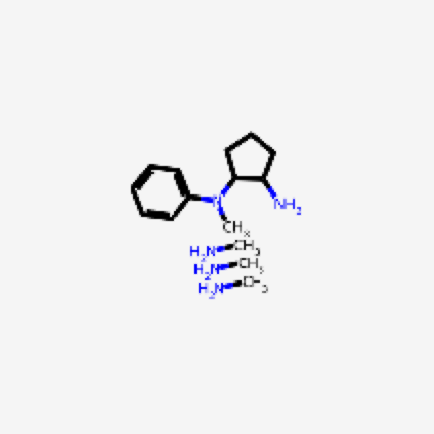 CN.CN.CN.CN(c1ccccc1)C1CCCC1N